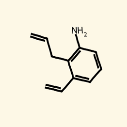 C=CCc1c(N)cccc1C=C